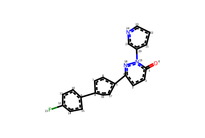 O=c1ccc(-c2ccc(-c3ccc(F)cc3)cc2)nn1-c1cccnc1